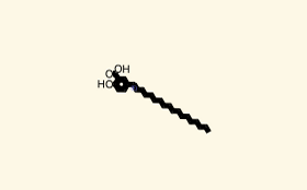 CCCCCCCCCCCCCCCC/C=C/c1ccc(O)c(C(=O)O)c1